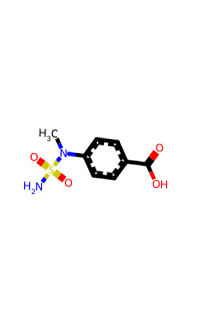 CN(c1ccc(C(=O)O)cc1)S(N)(=O)=O